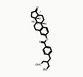 CC(C)(C)CC(CC=O)Cc1ccc(C(=O)Oc2ccc3c(c2)CC[C@@H]2[C@@H]3CC[C@]3(C)C(=O)CC[C@@H]23)cc1